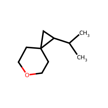 CC(C)C1CC12CCOCC2